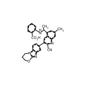 Cc1cc(C(C)Nc2ccccc2C(=O)O)c2cc(-c3ccc4c(c3)nc3n4CCCO3)c(C#N)nc2c1